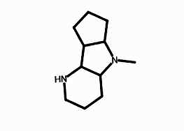 CN1C2CCCC2C2NCCCC21